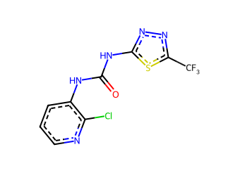 O=C(Nc1nnc(C(F)(F)F)s1)Nc1cccnc1Cl